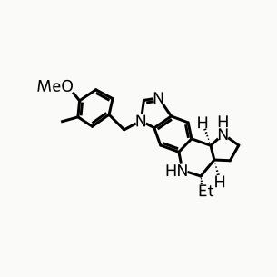 CC[C@@H]1Nc2cc3c(cc2[C@H]2NCC[C@@H]12)ncn3Cc1ccc(OC)c(C)c1